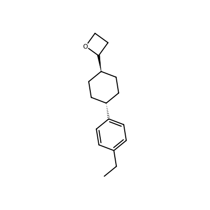 CCc1ccc([C@H]2CC[C@H](C3CCO3)CC2)cc1